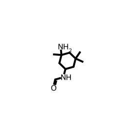 CC1(C)CC(NC=O)CC(C)(N)C1